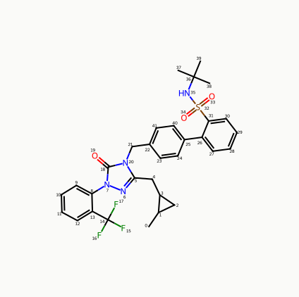 CC1CC1Cc1nn(-c2ccccc2C(F)(F)F)c(=O)n1Cc1ccc(-c2ccccc2S(=O)(=O)NC(C)(C)C)cc1